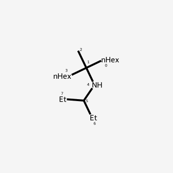 CCCCCCC(C)(CCCCCC)NC(CC)CC